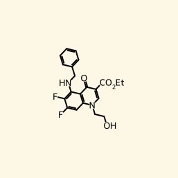 CCOC(=O)c1cn(CCO)c2cc(F)c(F)c(NCc3ccccc3)c2c1=O